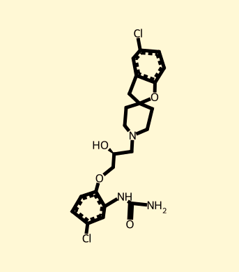 NC(=O)Nc1cc(Cl)ccc1OC[C@@H](O)CN1CCC2(CC1)Cc1cc(Cl)ccc1O2